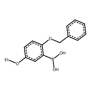 CCOc1ccc(OCc2ccccc2)c(B(O)O)c1